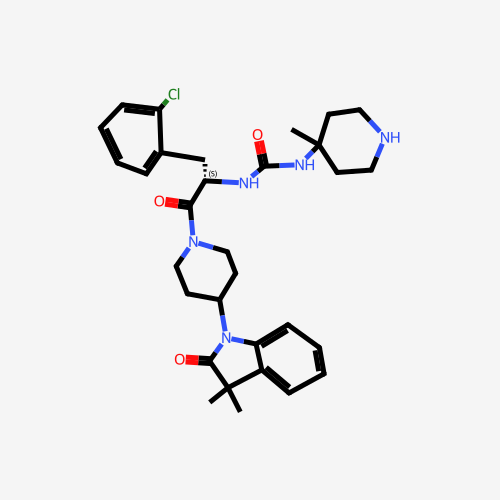 CC1(NC(=O)N[C@@H](Cc2ccccc2Cl)C(=O)N2CCC(N3C(=O)C(C)(C)c4ccccc43)CC2)CCNCC1